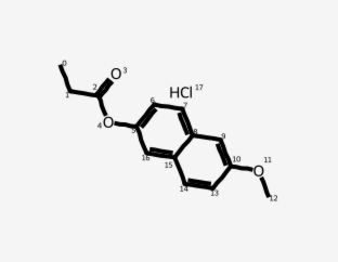 CCC(=O)Oc1ccc2cc(OC)ccc2c1.Cl